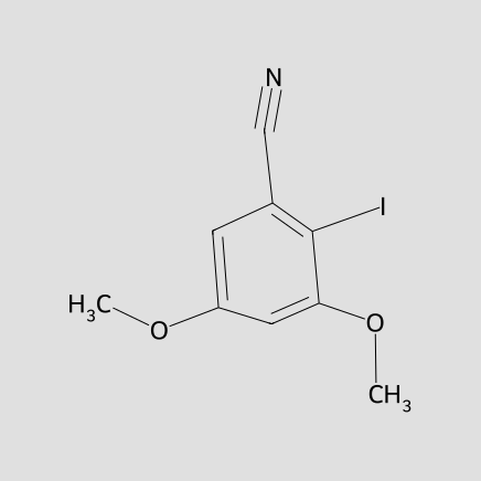 COc1cc(C#N)c(I)c(OC)c1